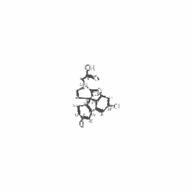 O=C(O)CN1CCC(c2ccc(Cl)cc2)(c2ccc(Cl)cc2)C1=O